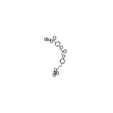 CC(C)(C)OC(=O)c1ccc(OCC(=O)COc2ccc(CCCOS(C)(=O)=O)cc2)cc1